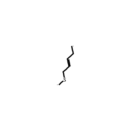 [CH2]CC=CCS[CH2]